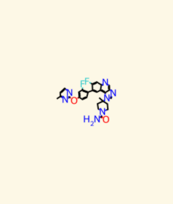 Cc1ccnc(Oc2ccc(-c3cc4c(cc3F)ncc3ncn(C5(C)CCN(C(N)=O)CC5)c34)c(F)c2)n1